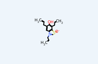 C=CCc1cc2c(c(CC=C)c1O)[S+]([O-])CN2CC=C